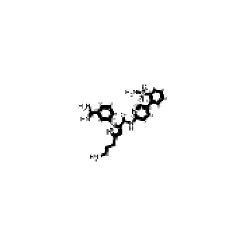 CCCCc1cc(C(=O)Nc2ccc(-c3ccccc3S(N)(=O)=O)cn2)n(-c2cccc(C(=N)N)c2)n1